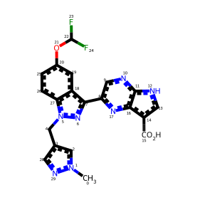 Cn1cc(Cn2nc(-c3cnc4[nH]cc(C(=O)O)c4n3)c3cc(OC(F)F)ccc32)cn1